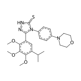 COc1c(-c2n[nH]c(=S)n2-c2ccc(N3CCOCC3)cc2)cc(C(C)C)c(OC)c1OC